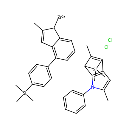 CC1=C2c3cc(C)n(-c4ccccc4)c3C1[Si]2(C)C.CC1=Cc2c(-c3ccc([Si](C)(C)C)cc3)cccc2[CH]1[Zr+2].[Cl-].[Cl-]